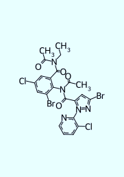 CCN(C(C)=O)C(=O)c1cc(Cl)cc(Br)c1N(C(C)=O)C(=O)c1cc(Br)nn1-c1ncccc1Cl